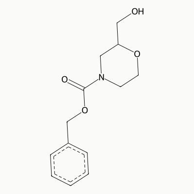 O=C(OCc1ccccc1)N1CCOC(CO)C1